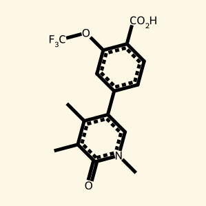 Cc1c(-c2ccc(C(=O)O)c(OC(F)(F)F)c2)cn(C)c(=O)c1C